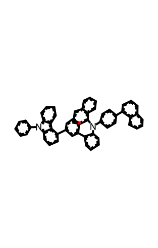 c1ccc(-n2c3ccccc3c3c(-c4cccc(-c5ccccc5N(c5ccc(-c6cccc7ccccc67)cc5)c5cccc6ccccc56)c4)cccc32)cc1